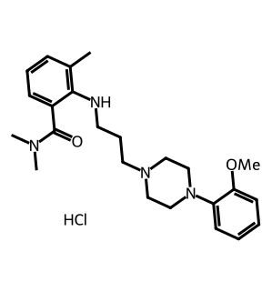 COc1ccccc1N1CCN(CCCNc2c(C)cccc2C(=O)N(C)C)CC1.Cl